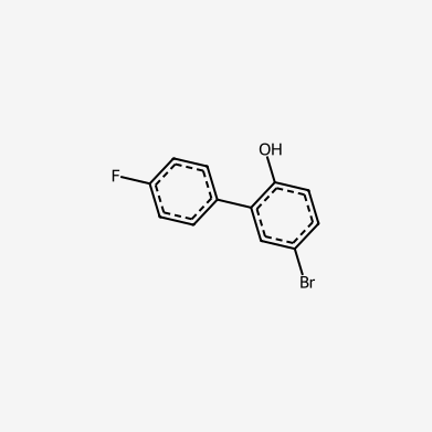 Oc1ccc(Br)cc1-c1ccc(F)cc1